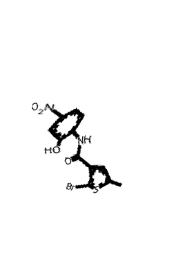 Cc1cc(C(=O)Nc2ccc([N+](=O)[O-])cc2O)c(Br)s1